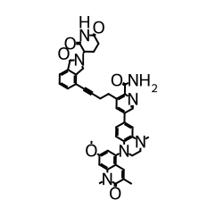 COc1cc(N2CCN(C)c3cc(-c4cnc(C(N)=O)c(CCC#Cc5cccc6c5CN(C5CCC(=O)NC5=O)C6=O)c4)ccc32)c2cc(C)c(=O)n(C)c2c1